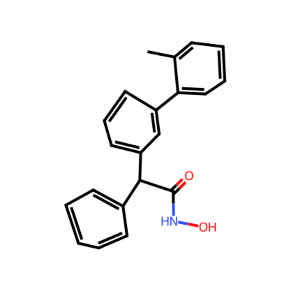 Cc1ccccc1-c1cccc(C(C(=O)NO)c2ccccc2)c1